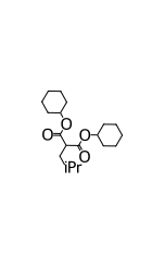 CC(C)CC(C(=O)OC1CCCCC1)C(=O)OC1CCCCC1